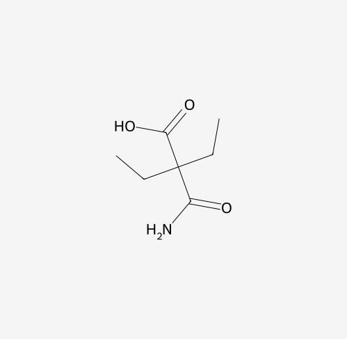 CCC(CC)(C(N)=O)C(=O)O